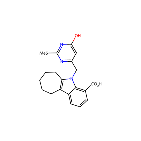 CSc1nc(O)cc(Cn2c3c(c4cccc(C(=O)O)c42)CCCCC3)n1